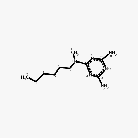 CCCCCCN(C)c1nc(N)nc(N)n1